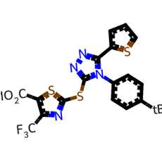 CC(C)(C)c1ccc(-n2c(Sc3nc(C(F)(F)F)c(C(=O)O)s3)nnc2-c2cccs2)cc1